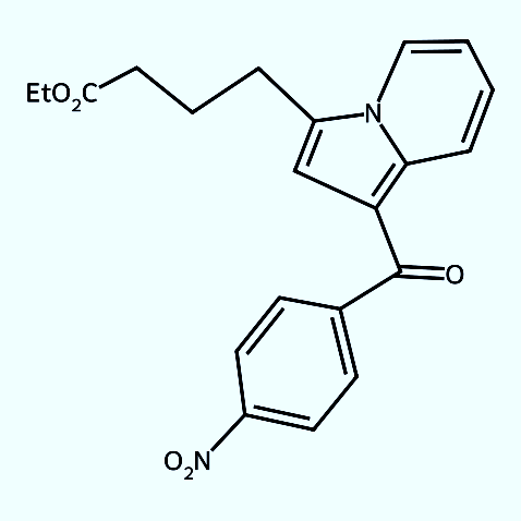 CCOC(=O)CCCc1cc(C(=O)c2ccc([N+](=O)[O-])cc2)c2ccccn12